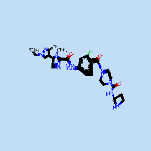 Cn1c(-c2cn(CC#N)nc2C(F)(F)F)cnc1C(=O)Nc1ccc(C(=O)N2CCN(C(=O)N[C@H]3CCNC3)CC2)c(Cl)c1